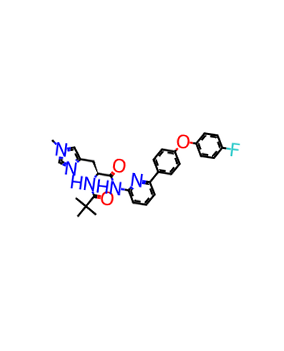 Cn1cnc(C[C@H](NC(=O)C(C)(C)C)C(=O)Nc2cccc(-c3ccc(Oc4ccc(F)cc4)cc3)n2)c1